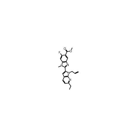 C=CCn1c(-c2nc3cc(C(=O)OC)c(F)cc3n2C)cc2ccc(CC)nc21